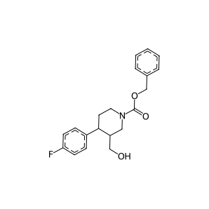 O=C(OCc1ccccc1)N1CCC(c2ccc(F)cc2)C(CO)C1